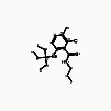 CCCNC(=O)c1c(NC(CC)(CC)CC)ccc(C)c1Cl